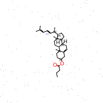 CCCC(=O)O[C@H]1CC[C@@]2(C)C(=CC[C@@H]3C2CC[C@]2(C)[C@@H]([C@H](C)/C=C/C=C(C)C)CC[C@@H]32)C1